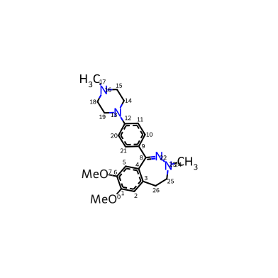 COc1cc2c(cc1OC)C(c1ccc(N3CCN(C)CC3)cc1)=NN(C)CC2